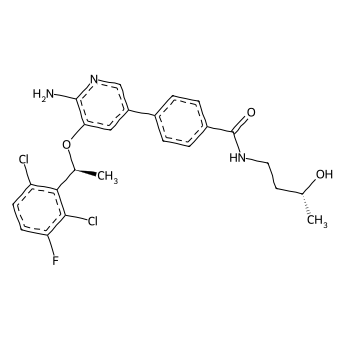 C[C@H](Oc1cc(-c2ccc(C(=O)NCC[C@@H](C)O)cc2)cnc1N)c1c(Cl)ccc(F)c1Cl